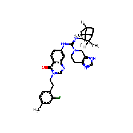 Cc1ccc(CCn2cnc3cc(N/C(=N/[C@H]4C[C@@H]5CC([C@@H]4C)C5(C)C)N4CCc5nc[nH]c5C4)ccc3c2=O)c(F)c1